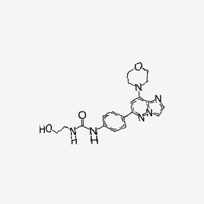 O=C(NCCO)Nc1ccc(-c2cc(N3CCOCC3)c3nccn3n2)cc1